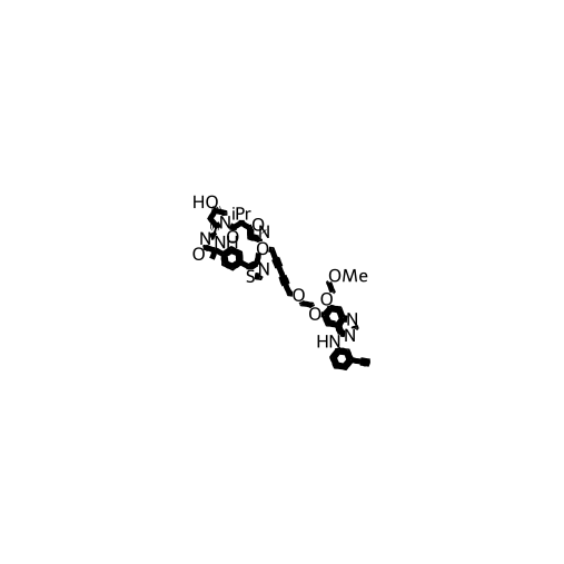 C#Cc1cccc(Nc2ncnc3cc(OCCOC)c(OCCOCC#CC#CCOc4cc(C(C(=O)N5C[C@H](O)C[C@@H]5C5=NC(=O)C(C)(c6ccc(-c7scnc7C)cc6)N5)C(C)C)on4)cc23)c1